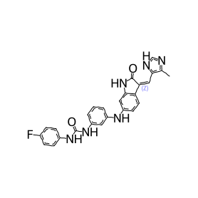 Cc1nc[nH]c1/C=C1\C(=O)Nc2cc(Nc3cccc(NC(=O)Nc4ccc(F)cc4)c3)ccc21